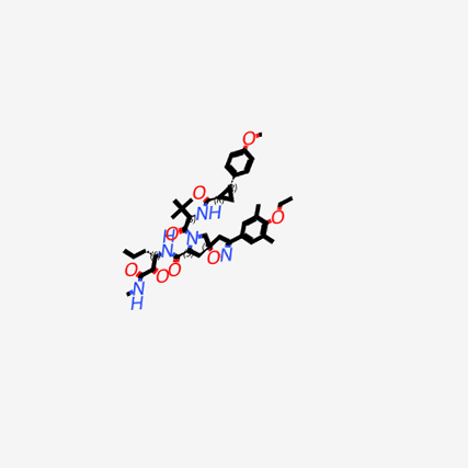 CCC[C@H](NC(=O)[C@@H]1C[C@]2(CC(c3cc(C)c(OCC)c(C)c3)=NO2)CN1C(=O)[C@@H](NC(=O)[C@@H]1C[C@H]1c1ccc(OC)cc1)C(C)(C)C)C(=O)C(=O)NC